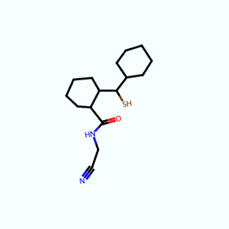 N#CCNC(=O)C1CCCCC1C(S)C1CCCCC1